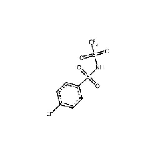 O=S(=O)(NS(=O)(=O)C(F)(F)F)c1ccc(Cl)cc1